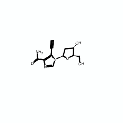 C#Cc1c(C(N)=O)ncn1[C@H]1C[C@H](O)[C@@H](CO)O1